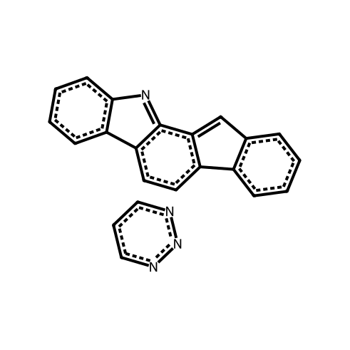 C1=c2c(ccc3c2=Nc2ccccc2-3)-c2ccccc21.c1cnnnc1